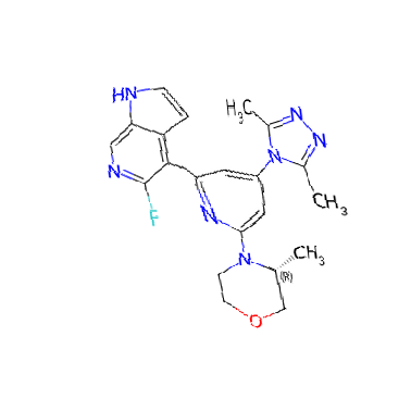 Cc1nnc(C)n1-c1cc(-c2c(F)ncc3[nH]ccc23)nc(N2CCOC[C@H]2C)c1